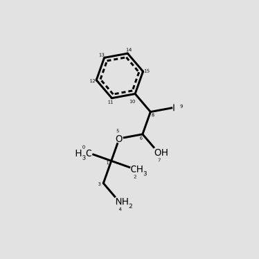 CC(C)(CN)OC(O)C(I)c1ccccc1